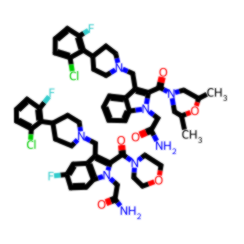 CC1CN(C(=O)c2c(CN3CCC(c4c(F)cccc4Cl)CC3)c3ccccc3n2CC(N)=O)CC(C)O1.NC(=O)Cn1c(C(=O)N2CCOCC2)c(CN2CCC(c3c(F)cccc3Cl)CC2)c2cc(F)ccc21